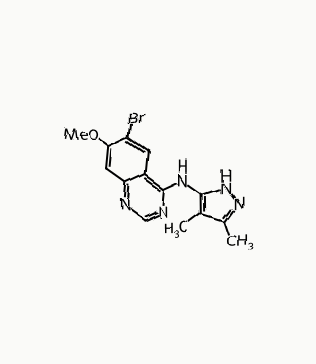 COc1cc2ncnc(Nc3[nH]nc(C)c3C)c2cc1Br